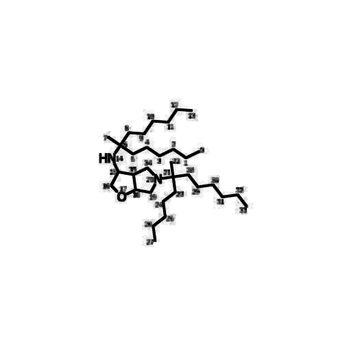 CCCCCCC(C)(CCCCCC)NC1COC2CN(C(C)(CCCCC)CCCCCC)CC12